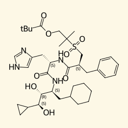 CC(C)(C)C(=O)OCC(C)(C)S(=O)(=O)C[C@@H](Cc1ccccc1)C(=O)N[C@@H](Cc1c[nH]cn1)C(=O)N[C@@H](CC1CCCCC1)[C@@H](O)[C@@H](O)C1CC1